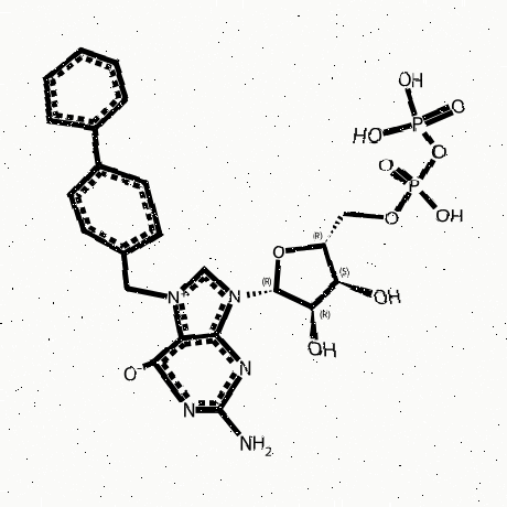 Nc1nc([O-])c2c(n1)n([C@@H]1O[C@H](COP(=O)(O)OP(=O)(O)O)[C@@H](O)[C@H]1O)c[n+]2Cc1ccc(-c2ccccc2)cc1